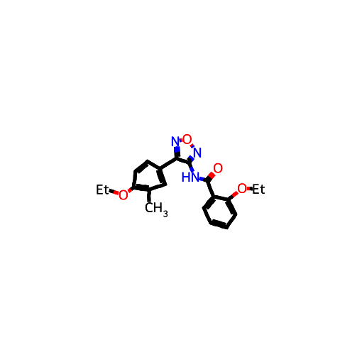 CCOc1ccc(-c2nonc2NC(=O)c2ccccc2OCC)cc1C